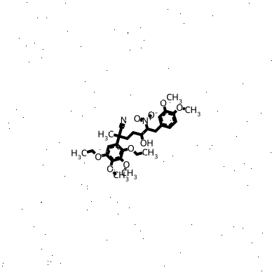 CCOc1cc(C(C)(C#N)CCC(O)C(Cc2ccc(OC)c(OC)c2)[N+](=O)[O-])c(OCC)c(OC)c1OC